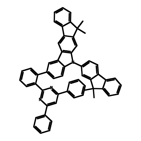 CC1(C)c2ccccc2-c2ccc(-n3c4ccc(-c5ccccc5-c5nc(-c6ccccc6)cc(-c6ccccc6)n5)cc4c4cc5c(cc43)C(C)(C)c3ccccc3-5)cc21